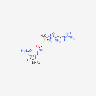 CC(=O)NC(CCCCNC(=O)CCSSC(C)(C)CNC(=O)[C@H](N)CCCNC(=N)N)C(=O)NCC(N)=O